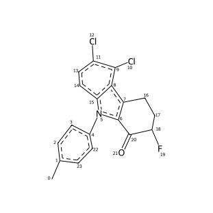 Cc1ccc(-n2c3c(c4c(Cl)c(Cl)ccc42)CCC(F)C3=O)cc1